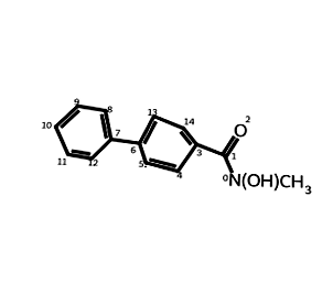 CN(O)C(=O)c1c[c]c(-c2ccccc2)cc1